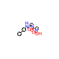 O=C(Nc1ccc(-c2ccccc2)cc1)[C@@H]1CCCN1C(=O)C1CCCN1C(=O)O